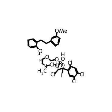 COc1cccc(CCc2ccccc2OC[C@@H](CN(C)C)OCOP(=O)(O)OC(I)(CCl)c2cc(Cl)c(Cl)cc2Cl)c1